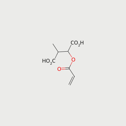 C=CC(=O)OC(C(=O)O)C(C)C(=O)O